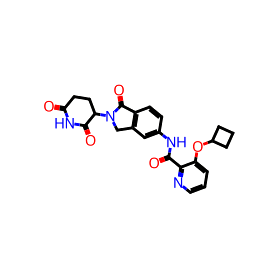 O=C1CCC(N2Cc3cc(NC(=O)c4ncccc4OC4CCC4)ccc3C2=O)C(=O)N1